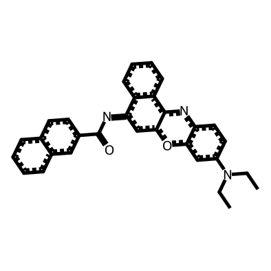 CCN(CC)c1ccc2nc3c4ccccc4c(=NC(=O)c4ccc5ccccc5c4)cc-3oc2c1